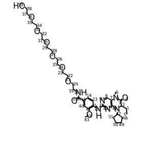 CCC1C(=O)N(C)c2cnc(Nc3ccc(C(=O)NCCOCCOCCOCCOCCOCCOCCO)cc3OC)nc2N1C1CCCC1